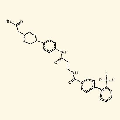 O=C(O)CC1CCC(c2ccc(NC(=O)CCNC(=O)c3ccc(-c4ccccc4C(F)(F)F)cc3)cc2)CC1